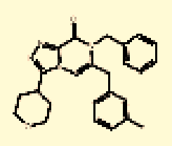 Cc1cccc(Cc2cn3c(C4CCOCC4)nnc3c(=O)n2Cc2ccccc2)c1